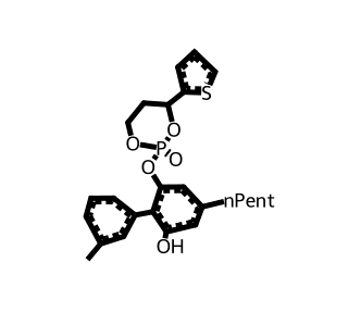 CCCCCc1cc(O)c(-c2cccc(C)c2)c(OP2(=O)OCCC(c3cccs3)O2)c1